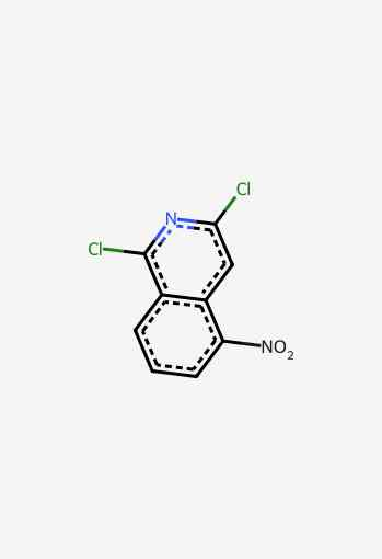 O=[N+]([O-])c1cccc2c(Cl)nc(Cl)cc12